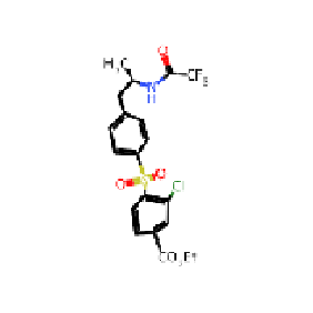 CCOC(=O)c1ccc(S(=O)(=O)c2ccc(C[C@@H](C)NC(=O)C(F)(F)F)cc2)c(Cl)c1